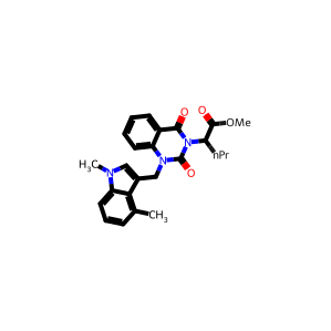 CCCC(C(=O)OC)n1c(=O)c2ccccc2n(Cc2cn(C)c3cccc(C)c23)c1=O